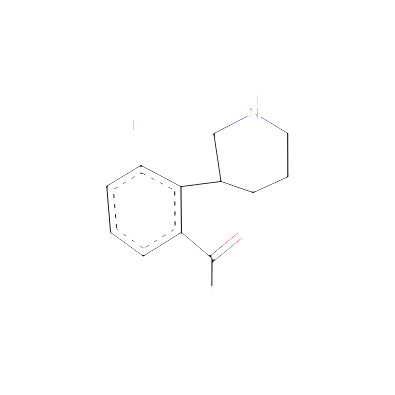 CCC(=O)c1ccccc1C1CCCNC1.Cl